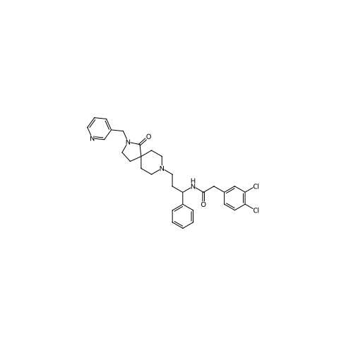 O=C(Cc1ccc(Cl)c(Cl)c1)NC(CCN1CCC2(CC1)CCN(Cc1cccnc1)C2=O)c1ccccc1